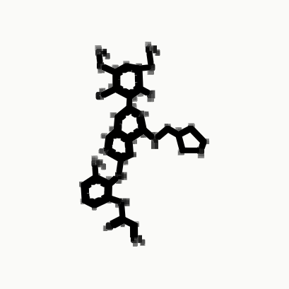 C=CC(=O)Nc1cccc(C)c1Nc1cc2c(NCC3CCOC3)nc(-c3c(Cl)c(OC)cc(OC)c3Cl)cc2cn1